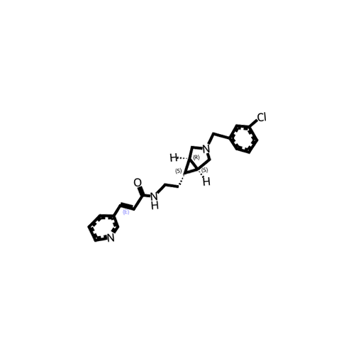 O=C(/C=C/c1cccnc1)NCC[C@@H]1[C@H]2CN(Cc3cccc(Cl)c3)C[C@@H]12